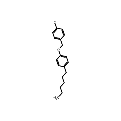 [CH2]CCCCCc1ccc(OCc2ccc(Cl)cc2)cc1